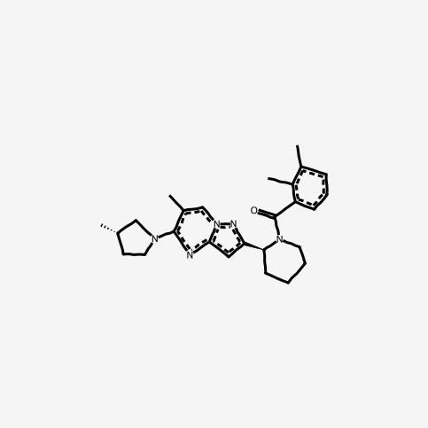 Cc1cn2nc([C@@H]3CCCCN3C(=O)c3cccc(C)c3C)cc2nc1N1CC[C@H](C)C1